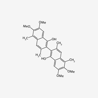 COc1cc2c(O)c(-c3c(C)cc4c(C)c(OC)c(OC)cc4c3O)c(C)cc2c(C)c1OC